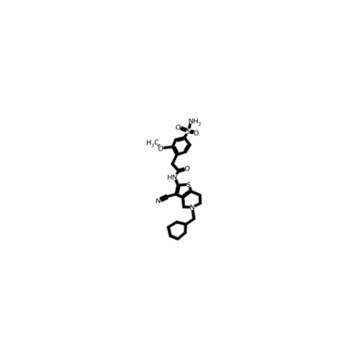 COc1cc(S(N)(=O)=O)ccc1CC(=O)Nc1sc2c(c1C#N)CN(CC1CCCCC1)CC2